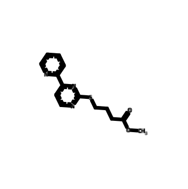 COC(=O)CCCSc1nccc(-c2ccccn2)n1